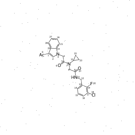 CC(=O)c1cn(CC(=O)N(CC(=O)NCc2cccc(Cl)c2F)C2CC2)c2ccccc12